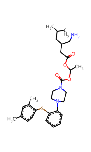 Cc1ccc(Sc2ccccc2N2CCN(C(=O)OC(C)OC(=O)CC(CN)CC(C)C)CC2)c(C)c1